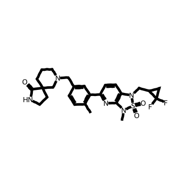 Cc1ccc(CN2CCCC3(CCNC3=O)C2)cc1-c1ccc2c(n1)N(C)S(=O)(=O)N2CC1CC1(F)F